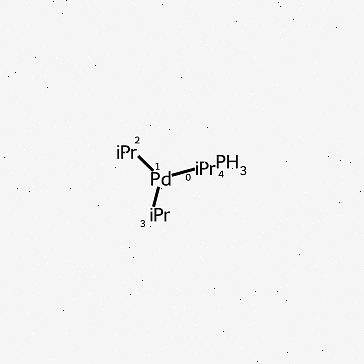 C[CH](C)[Pd]([CH](C)C)[CH](C)C.P